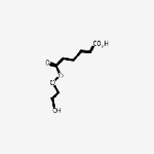 O=C(O)CCCCC(=O)OOCCO